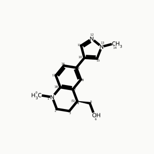 CN1CC[C@H](CO)c2cc(-c3cnn(C)c3)ccc21